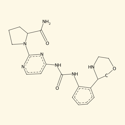 NC(=O)C1CCCN1c1nccc(NC(=O)Nc2ccccc2C2COCCN2)n1